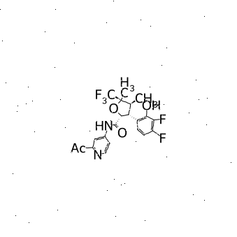 CC(=O)c1cc(NC(=O)[C@@H]2O[C@@](C)(C(F)(F)F)[C@@H](C)[C@@H]2c2ccc(F)c(F)c2O)ccn1